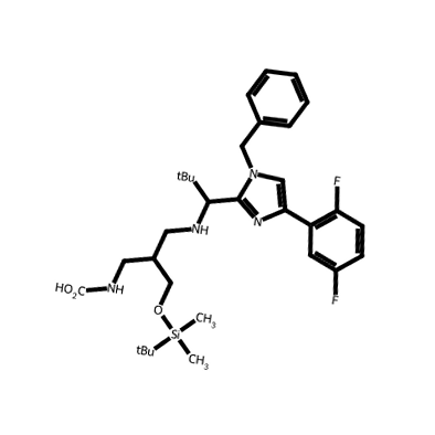 CC(C)(C)C(NCC(CNC(=O)O)CO[Si](C)(C)C(C)(C)C)c1nc(-c2cc(F)ccc2F)cn1Cc1ccccc1